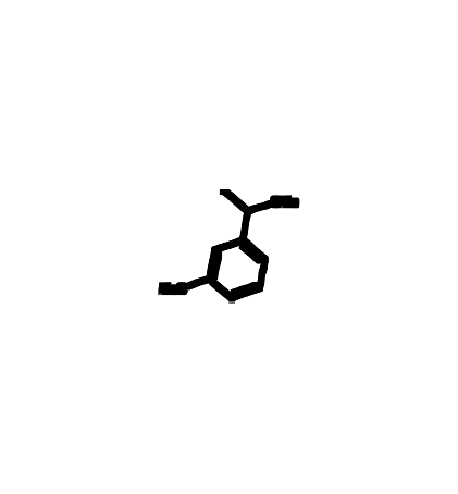 [CH2]C(OC)c1cc[c]c(OC)c1